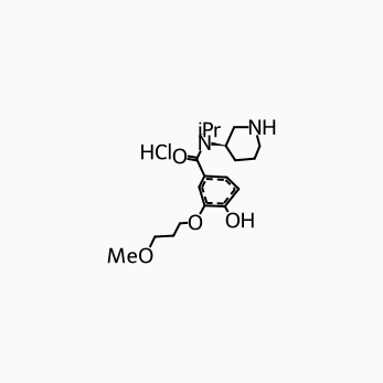 COCCCOc1cc(C(=O)N(C(C)C)[C@@H]2CCCNC2)ccc1O.Cl